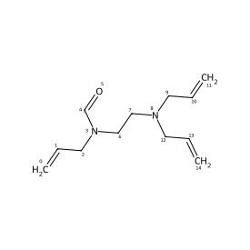 C=CCN([C]=O)CCN(CC=C)CC=C